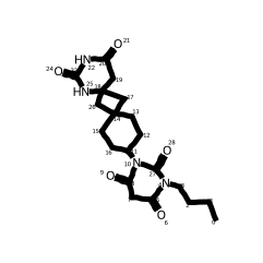 CCCCN1C(=O)CC(=O)N(C2CCC3(CC2)CC2(CC(=O)NC(=O)N2)C3)C1=O